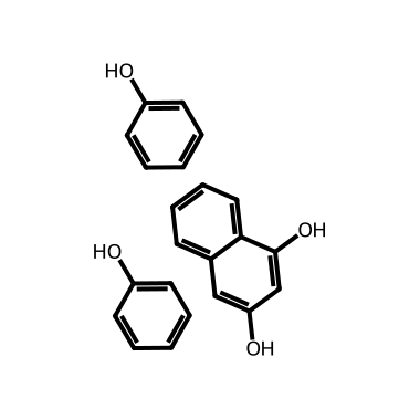 Oc1cc(O)c2ccccc2c1.Oc1ccccc1.Oc1ccccc1